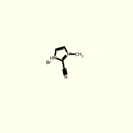 C[n+]1cc[nH]c1C#N.[Br-]